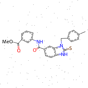 COC(=O)c1cccc(NC(=O)c2ccc3[nH]c(=S)n(Cc4ccc(C)cc4)c3c2)c1